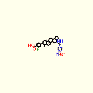 CC1C(c2ccc(C(=O)O)c(F)c2)=CCC2(C)C1CCC1(C)C2CCC2C3CCCC3(NCCN3CCN([S+]([O-])N(C)C)CC3)CC[C@]21C